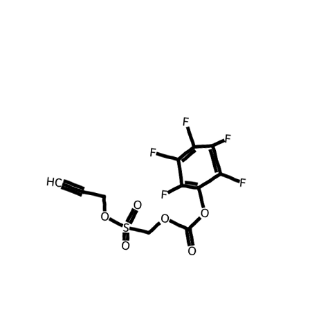 C#CCOS(=O)(=O)COC(=O)Oc1c(F)c(F)c(F)c(F)c1F